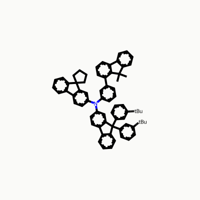 CC(C)(C)c1cccc(C2(c3cccc(C(C)(C)C)c3)c3ccccc3-c3ccc(N(c4cccc(-c5cccc6c5C(C)(C)c5ccccc5-6)c4)c4ccc5c(c4)C4(CCCC4)c4ccccc4-5)cc32)c1